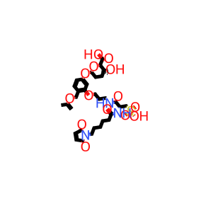 C=C(C)OCc1ccc(OC2CC[C@H](O)C(C(=O)O)O2)cc1OCCCNC(=O)C(CS(=O)(=O)O)NC(=O)CCCCCN1C(=O)C=CC1=O